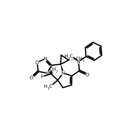 C=C(F)C1(C)CC=C(C(=O)N(C)c2ccccc2)N1[C@@]1(c2noc(=O)[nH]2)C[C@@H]1C